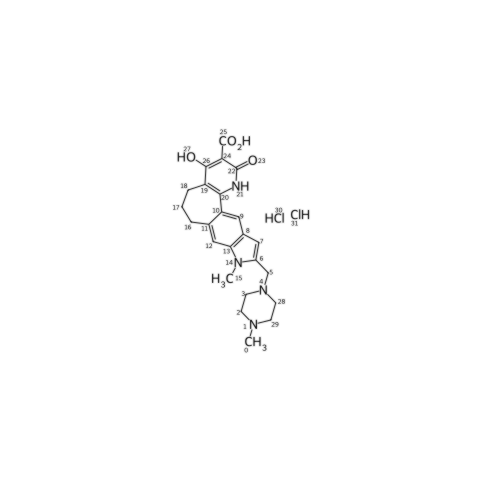 CN1CCN(Cc2cc3cc4c(cc3n2C)CCCc2c-4[nH]c(=O)c(C(=O)O)c2O)CC1.Cl.Cl